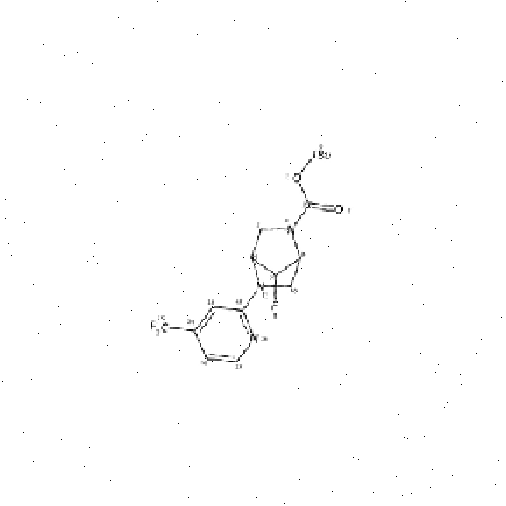 CC(C)(C)OC(=O)N1CC2C(F)C1CN2c1cc(C(F)(F)F)ccn1